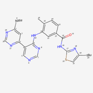 CNc1cc(-c2cncnc2Nc2cc(C(=O)Nc3nc(C(C)(C)C)cs3)ccc2C)ncn1